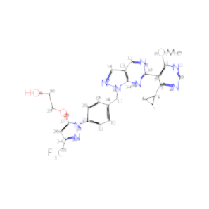 COc1ncnc(C2CC2)c1-c1ncc2cnn(Cc3ccc(-n4nc(C(F)(F)F)cc4OCCO)cc3)c2n1